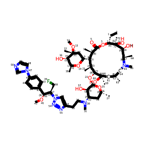 CC[C@H]1OC(=O)[C@H](C)[C@@H](C2C[C@@](C)(OC)[C@@H](O)[C@H](C)O2)[C@H](C)[C@@H](O[C@@H]2O[C@H](C)C[C@H](N(C)CCc3cn([C@H](CF)[C@H](OC)c4ccc(-n5ccnc5)cc4)nn3)[C@H]2O)[C@](C)(O)C[C@@H](C)CN(C)[C@H](C)[C@@H](O)[C@]1(C)O